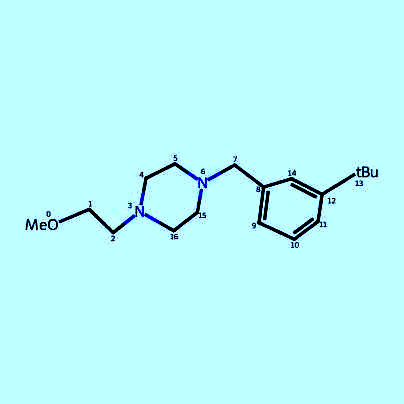 COCCN1CCN(Cc2cccc(C(C)(C)C)c2)CC1